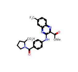 COC(=O)c1nc2ccc(C(F)(F)F)cc2nc1Nc1ccc(C(=O)N2CCCC2C(=O)O)cc1